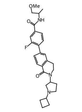 COCC(C)NC(=O)c1ccc(-c2ccc3c(c2)CCN(C2CCN(C4CCC4)C2)C3=O)c(F)c1